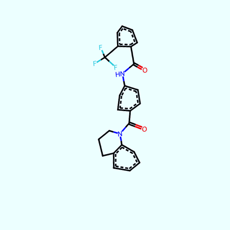 O=C(Nc1ccc(C(=O)N2CCCc3ccccc32)cc1)c1ccccc1C(F)(F)F